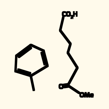 COC(=O)CCCCC(=O)O.Cc1ccccc1